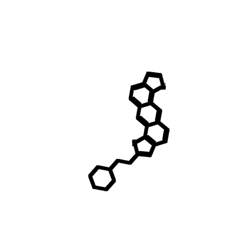 c1cc2ccc3cc4c(ccc5cc(CCC6CCCCC6)sc54)cc3c2s1